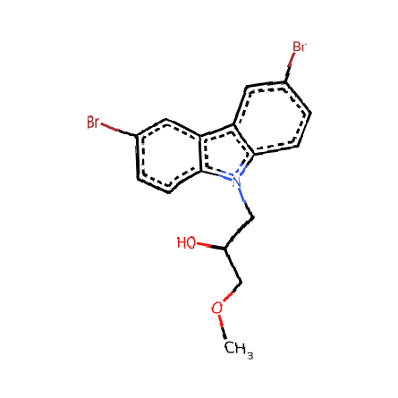 COCC(O)Cn1c2ccc(Br)cc2c2cc(Br)ccc21